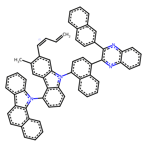 C=C/C=C\c1cc2c(cc1C)c1c(-n3c4ccccc4c4ccc5ccccc5c43)cccc1n2-c1ccc(-c2nc3ccccc3nc2-c2ccc3ccccc3c2)c2ccccc12